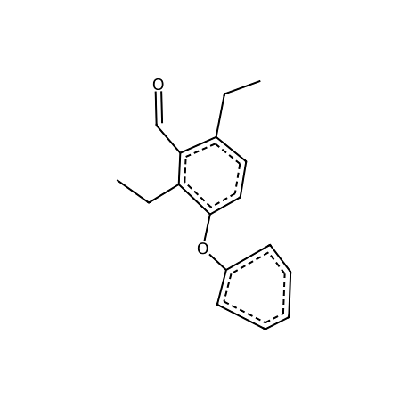 CCc1ccc(Oc2ccccc2)c(CC)c1C=O